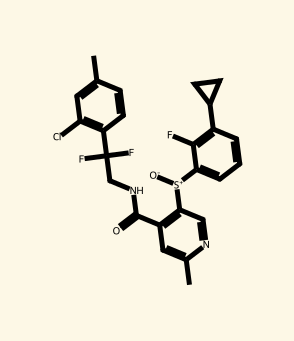 Cc1ccc(C(F)(F)CNC(=O)c2cc(C)ncc2[S+]([O-])c2cccc(C3CC3)c2F)c(Cl)c1